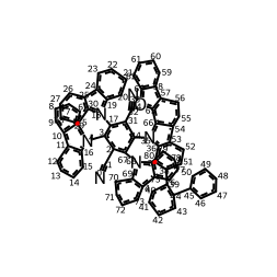 N#Cc1c(-n2c3ccccc3c3ccccc32)c(-n2c3ccccc3c3ccccc32)c(C#N)c(-n2c3cc(-c4ccccc4-c4ccccc4)ccc3c3ccc4c5ccccc5oc4c32)c1-n1c2ccccc2c2ccccc21